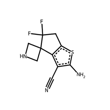 N#Cc1c(N)sc2c1C1(CNC1)C(F)(F)C2